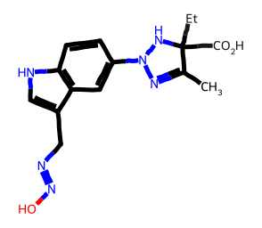 CCC1(C(=O)O)NN(c2ccc3[nH]cc(CN=NO)c3c2)N=C1C